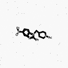 CC[S+]([O-])c1ccc2c(c1)nc(C(C)C)n2CC1CCN(C(C)=O)CC1